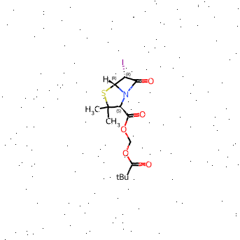 CC(C)(C)C(=O)OCOC(=O)[C@@H]1N2C(=O)[C@@H](I)[C@H]2SC1(C)C